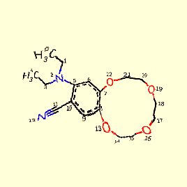 CCN(CC)c1cc2c(cc1C#N)OCCOCCOCCO2